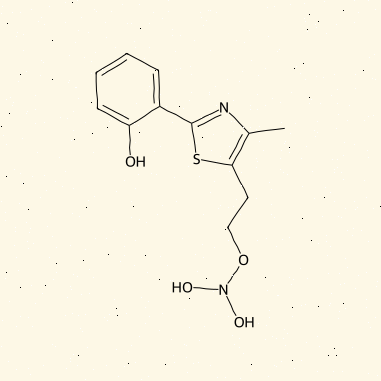 Cc1nc(-c2ccccc2O)sc1CCON(O)O